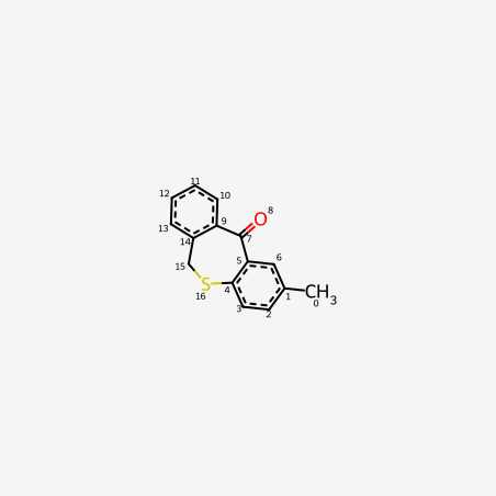 Cc1ccc2c(c1)C(=O)c1ccccc1CS2